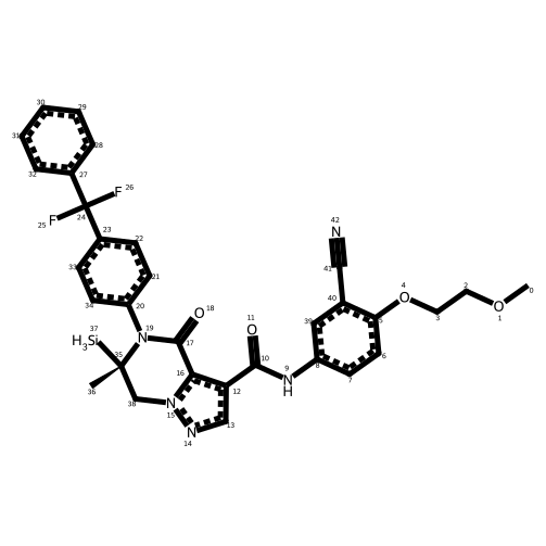 COCCOc1ccc(NC(=O)c2cnn3c2C(=O)N(c2ccc(C(F)(F)c4ccccc4)cc2)[C@@](C)([SiH3])C3)cc1C#N